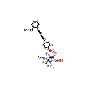 COc1ccccc1C#CC#Cc1ccc(C(=O)N[C@H](C(=O)NO)C(C)(NC(C)=O)C(F)F)cc1